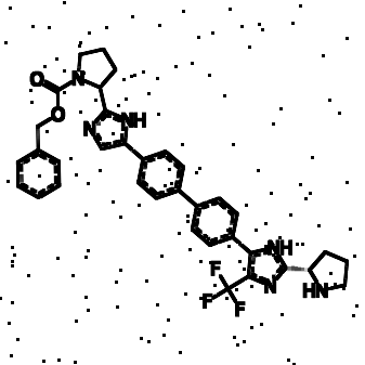 O=C(OCc1ccccc1)N1CCCC1c1ncc(-c2ccc(-c3ccc(-c4[nH]c([C@@H]5CCCN5)nc4C(F)(F)F)cc3)cc2)[nH]1